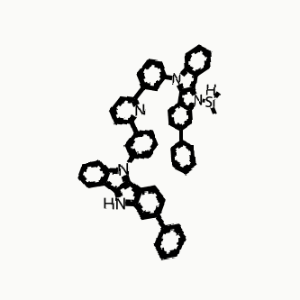 C[SiH](C)n1c2cc(-c3ccccc3)ccc2c2c1c1ccccc1n2-c1cccc(-c2cccc(-c3cccc(-n4c5ccccc5c5[nH]c6cc(-c7ccccc7)ccc6c54)c3)n2)c1